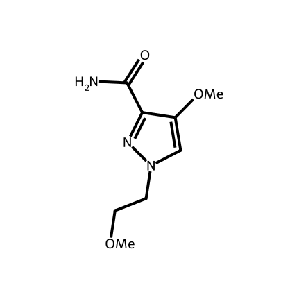 COCCn1cc(OC)c(C(N)=O)n1